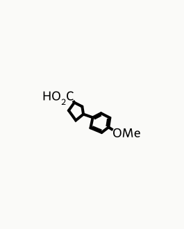 COc1ccc(C2CCC(C(=O)O)C2)cc1